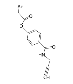 C#CCNC(=O)c1ccc(OC(=O)CC(C)=O)cc1